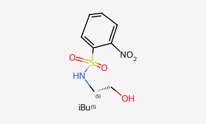 CC[C@H](C)[C@@H](CO)NS(=O)(=O)c1ccccc1[N+](=O)[O-]